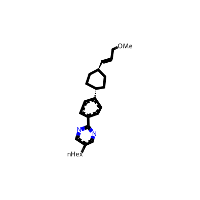 CCCCCCc1cnc(-c2ccc([C@H]3CC[C@H](C=CCOC)CC3)cc2)nc1